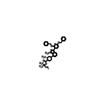 C[C@@H]1CN(c2cccc3c(-c4ccc(OCc5ccccc5)nc4OCc4ccccc4)nn(C)c23)CCN1C(=O)OC(C)(C)C